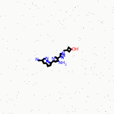 N#Cc1cnn2c(-c3cc(N)c(-c4cn(CC5CC(O)C5)nn4)cn3)ccc2c1